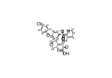 O=C(NO)[C@H](NCc1cccnc1S(=O)(=O)c1ccc(Oc2ccc(Cl)cc2)cc1)C1CCOCC1